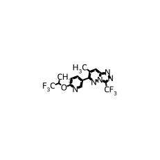 Cc1cc2nnc(C(F)(F)F)n2nc1-c1ccc(OC(C)C(F)(F)F)nc1